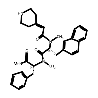 CNC(=O)[C@@H](Cc1ccccc1)N(C)C(=O)[C@@H](Cc1ccc2ccccc2c1)N(C)C(=O)C=C1CCNCC1